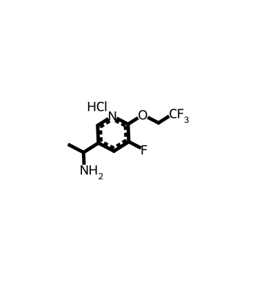 CC(N)c1cnc(OCC(F)(F)F)c(F)c1.Cl